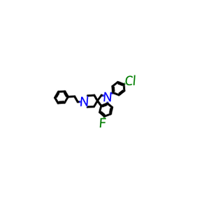 Fc1ccc2c(c1)C1(CCN(CCc3ccccc3)CC1)CN2c1ccc(Cl)cc1